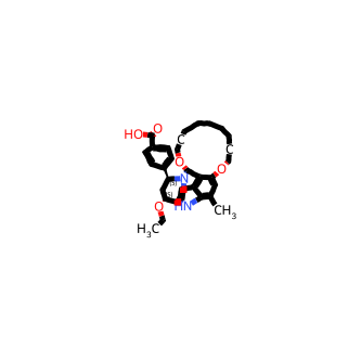 CCO[C@H]1CCN(C2OCCCCCCCCCOc3cc(C)c4[nH]ccc4c32)[C@H](c2ccc(C(=O)O)cc2)C1